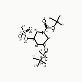 CC(C)(C)OC(=O)N1CC(O[Si](C)(C)C(C)(C)C)CC(OS(C)(=O)=O)C1